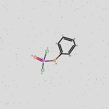 O=P(Cl)(Cl)Sc1ccccc1